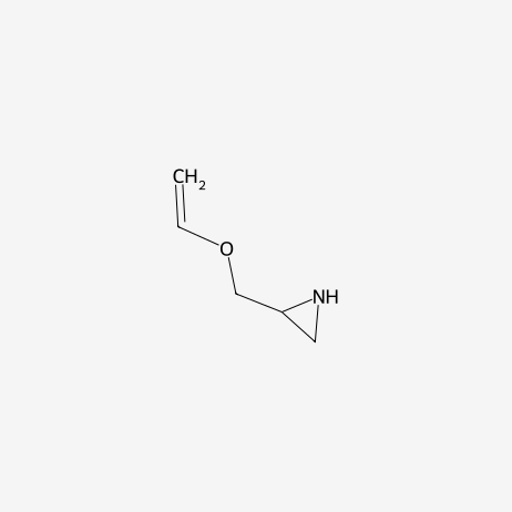 C=COCC1CN1